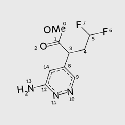 COC(=O)C(CC(F)F)c1cnnc(N)c1